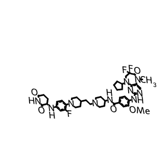 COc1cc(C(=O)NC2CCN(CCC3CCN(c4ccc(NC5CCC(=O)NC5=O)cc4F)CC3)CC2)ccc1Nc1ncc2c(n1)N(C1CCCC1)CC(F)(F)C(=O)N2C